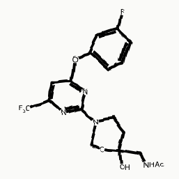 CC(=O)NCC1(O)CCN(c2nc(Oc3cccc(F)c3)cc(C(F)(F)F)n2)CC1